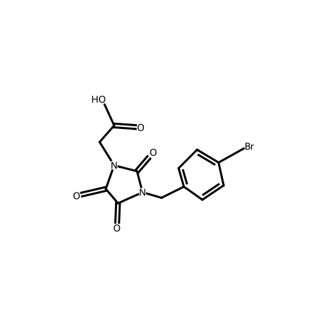 O=C(O)CN1C(=O)C(=O)N(Cc2ccc(Br)cc2)C1=O